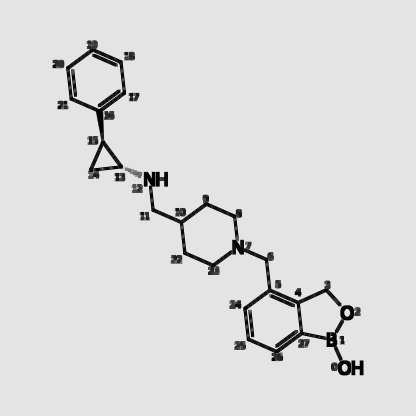 OB1OCc2c(CN3CCC(CN[C@@H]4C[C@H]4c4ccccc4)CC3)cccc21